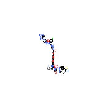 Cc1ncsc1-c1ccc(CNC(=O)[C@@H]2C[C@@H](O)CN2C(=O)[C@@H](NC(=O)CCOCCOCCOCCC(=O)N2CCN(CC[C@H](NC(=O)C3(N)CCN(c4ncnc5[nH]ccc45)CC3)c3ccc(Cl)cc3)CC2)C(C)(C)C)cc1